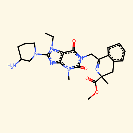 CCn1c(N2CCCC(N)C2)nc2c1c(=O)n(CC1=NC(C)(C(=O)OC)Cc3ccccc31)c(=O)n2C